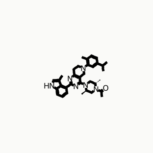 CC(=O)N1C[C@@H](C)N(c2nc(-c3cccc4[nH]cc(C)c34)nc3c2CN(c2cc(C(C)C)ccc2C)CC3)C[C@@H]1C